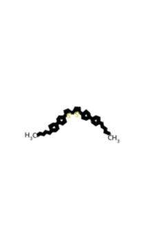 CCCCCCc1ccc(-c2ccc(-c3ccc(-c4ccc(-c5ccc(-c6ccc(CCCCCC)cc6)cc5)s4)s3)cc2)cc1